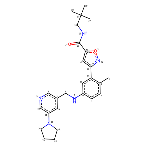 Cc1ccc(NCc2cncc(N3CCCC3)c2)cc1-c1cc(C(=O)NCC(C)(C)C)on1